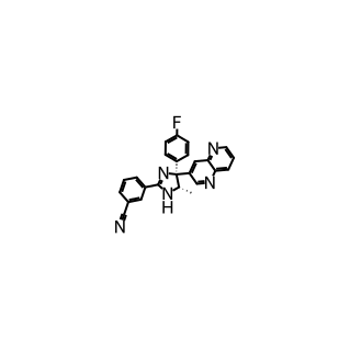 C[C@@H]1NC(c2cccc(C#N)c2)=N[C@@]1(c1ccc(F)cc1)c1cnc2cccnc2c1